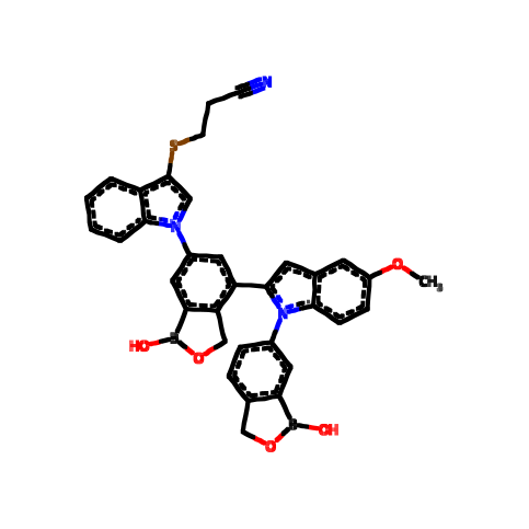 COc1ccc2c(c1)cc(-c1cc(-n3cc(SCCC#N)c4ccccc43)cc3c1COB3O)n2-c1ccc2c(c1)B(O)OC2